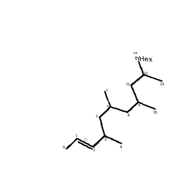 C/C=C/C(C)CC(C)CC(C)CC(C)CCCCCC